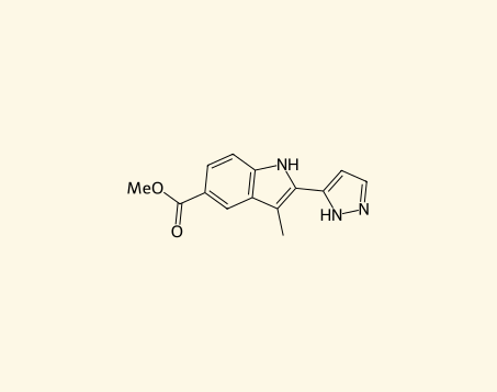 COC(=O)c1ccc2[nH]c(-c3ccn[nH]3)c(C)c2c1